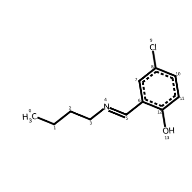 CCCCN=Cc1cc(Cl)ccc1O